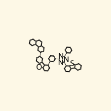 c1ccc(-c2nc(-c3cccc(-c4cccc5oc6ccc(-c7ccc8ccc9ccccc9c8c7)cc6c45)c3)nc(-c3cccc4c3sc3ccccc34)n2)cc1